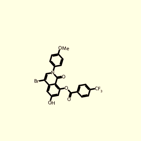 COc1ccc(-n2cc(Br)c3cc(O)cc(OC(=O)c4ccc(C(F)(F)F)cc4)c3c2=O)cc1